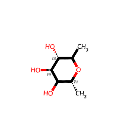 CC1O[C@H](C)C(O)[C@@H](O)[C@@H]1O